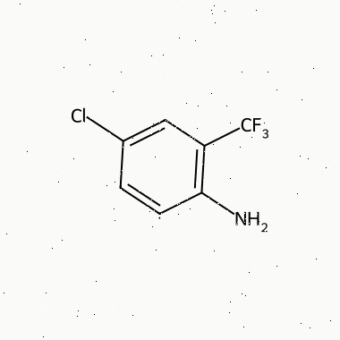 Nc1[c]cc(Cl)cc1C(F)(F)F